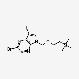 C[Si](C)(C)CCOCn1cc(I)c2nc(Br)cnc21